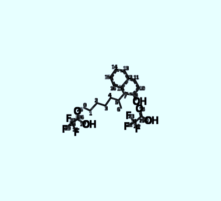 CCCCCC(C)c1c(O)ccc2ccccc12.O=C(O)C(F)(F)F.O=C(O)C(F)(F)F